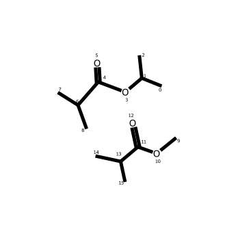 CC(C)OC(=O)C(C)C.COC(=O)C(C)C